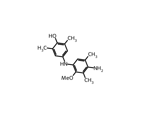 COc1c(Nc2cc(C)c(O)c(C)c2)cc(C)c(N)c1C